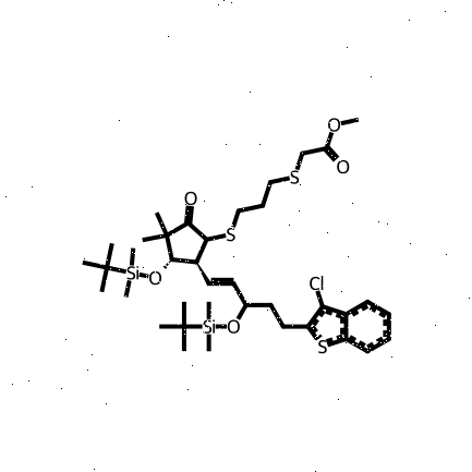 COC(=O)CSCCCSC1C(=O)C(C)(C)[C@@H](O[Si](C)(C)C(C)(C)C)[C@@H]1C=CC(CCc1sc2ccccc2c1Cl)O[Si](C)(C)C(C)(C)C